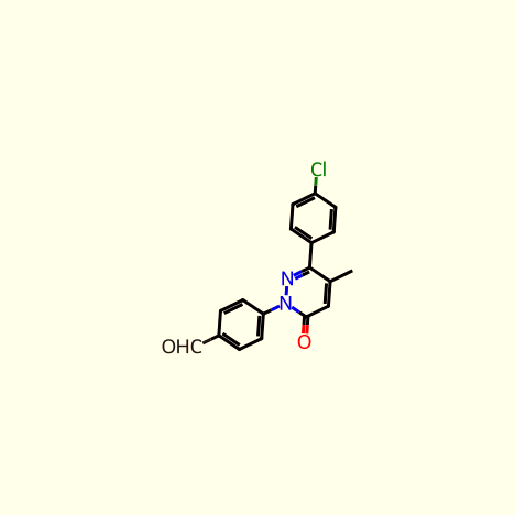 Cc1cc(=O)n(-c2ccc(C=O)cc2)nc1-c1ccc(Cl)cc1